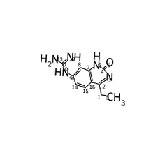 CCc1nc(=O)[nH]c2cc(NC(=N)N)ccc12